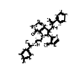 O=C(NCCn1c(-c2sccc2Cl)c(NC(=O)c2ccccc2)c2nc[nH]c(=O)c21)c1ccc(F)cc1